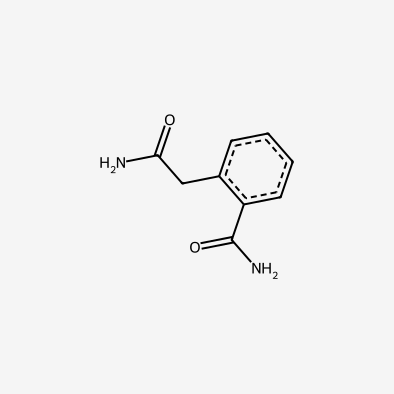 NC(=O)Cc1ccccc1C(N)=O